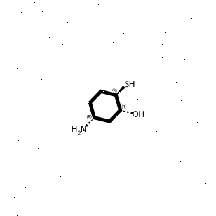 N[C@@H]1CC[C@@H](S)[C@H](O)C1